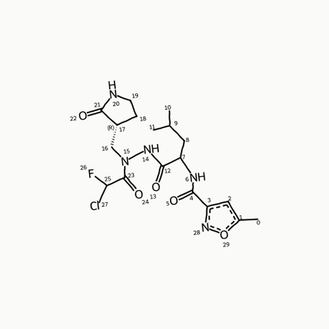 Cc1cc(C(=O)NC(CC(C)C)C(=O)NN(C[C@H]2CCNC2=O)C(=O)C(F)Cl)no1